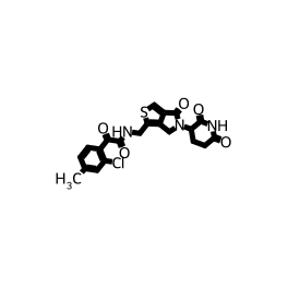 Cc1ccc(C(=O)C(=O)NCc2scc3c2CN(C2CCC(=O)NC2=O)C3=O)c(Cl)c1